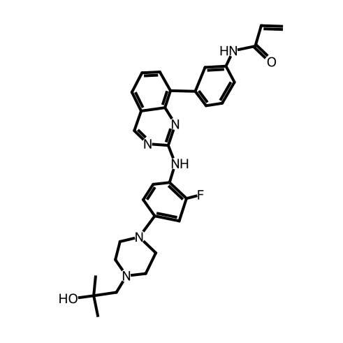 C=CC(=O)Nc1cccc(-c2cccc3cnc(Nc4ccc(N5CCN(CC(C)(C)O)CC5)cc4F)nc23)c1